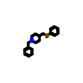 c1ccc(CN2CCC(CSc3ccccc3)CC2)cc1